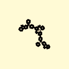 CC1(C)c2ccccc2-c2ccc(N(c3ccccc3)c3ccc(-c4cc5c6c(c4)C(C)(C)c4cc(C7=CCC(N(c8ccccc8)c8ccc9c(c8)C(C)(C)c8ccccc8-9)C=C7)ccc4N6c4ccccc4C5(C)C)cc3)cc21